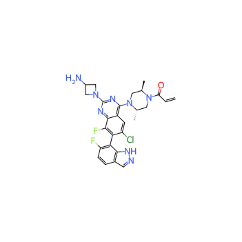 C=CC(=O)N1C[C@H](C)N(c2nc(N3CC(N)C3)nc3c(F)c(-c4c(F)ccc5cn[nH]c45)c(Cl)cc23)C[C@H]1C